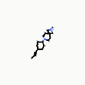 CC#CC1CCC(N2CCC3(CC2)CN(C)C3)CC1